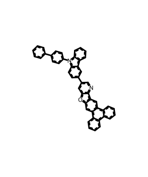 c1ccc(-c2ccc(-n3c4ccccc4c4cc(-c5cnc6c(c5)oc5cc7c8ccccc8c8ccccc8c7cc56)ccc43)cc2)cc1